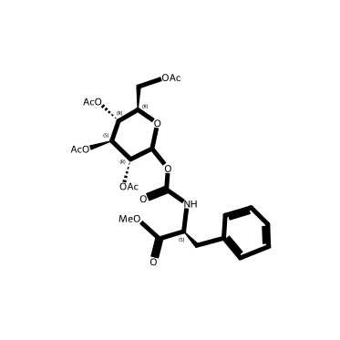 COC(=O)[C@H](Cc1ccccc1)NC(=O)OC1O[C@H](COC(C)=O)[C@@H](OC(C)=O)[C@H](OC(C)=O)[C@H]1OC(C)=O